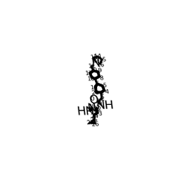 O=C(Cc1ccc(-c2ccc(CN3CCCC3)cc2)cc1)Nc1cc(C2CC2)[nH]n1